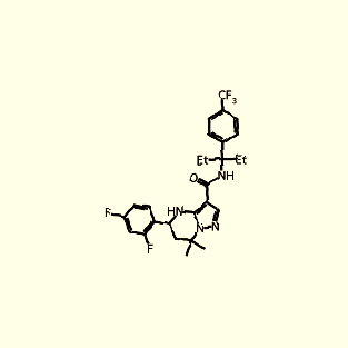 CCC(CC)(NC(=O)c1cnn2c1NC(c1ccc(F)cc1F)CC2(C)C)c1ccc(C(F)(F)F)cc1